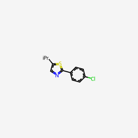 CC(C)c1cnc(-c2ccc(Cl)cc2)s1